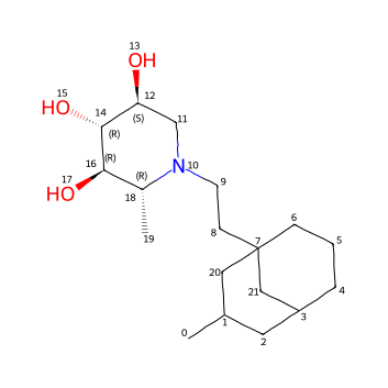 CC1CC2CCCC(CCN3C[C@H](O)[C@@H](O)[C@H](O)[C@H]3C)(C1)C2